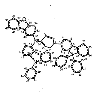 C1=CC(c2ccc3c(c2)C(c2ccccc2)(c2ccccc2)c2ccccc2-3)CC=C1N(c1ccc2oc3ccccc3c2c1)c1cccc2c1c1ccccc1n2-c1ccccc1